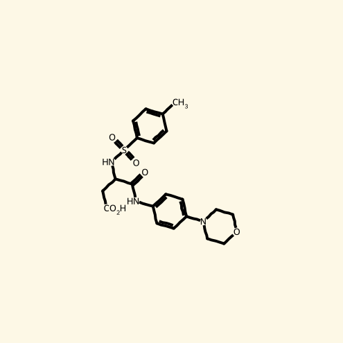 Cc1ccc(S(=O)(=O)NC(CC(=O)O)C(=O)Nc2ccc(N3CCOCC3)cc2)cc1